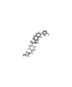 Cc1ncc(-c2ccc3cnc(NC(=O)[C@H]4CC[C@H](CN5CC(F)C5)CC4)nc3c2)o1